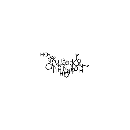 C=CCNC(=O)C(=O)[C@H](CCC1CC1)NC(=O)[C@@H]1[C@H]2CCC[C@H]2CN1C(=O)[C@@H](NC(=O)NC1(CS(=O)(=O)C(C)(C)CO)CCCCC1)C(C)(C)C